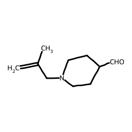 C=C(C)CN1CCC(C=O)CC1